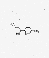 CCCC(=N)c1ccc(N)cn1